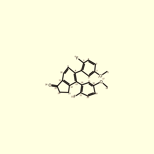 COc1ccc(F)c(-c2ccc3c(c2-c2cc(OC)ccc2F)CCC3=O)c1